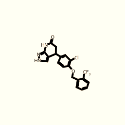 O=C1CC(c2ccc(OCc3ccccc3C(F)(F)F)c(Cl)c2)c2c[nH]nc2N1